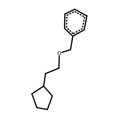 c1ccc(COCCC2CCCC2)cc1